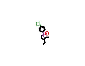 CCC1=C(C)P(=O)(c2ccc(Cl)cc2)CC1